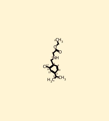 CCOC(=O)CNCc1ccc(C(C)C)cc1Cl